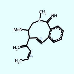 C=C(/C=C\C)C1/C=C/c2ccccc2C(=N)N(C)CC1NC